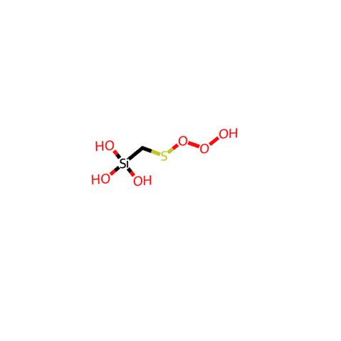 OOOSC[Si](O)(O)O